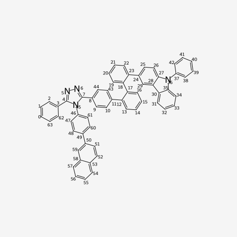 c1ccc(-c2nnc(-c3ccc(-c4ccccc4-c4ccccc4-c4ccc5c(c4)c4ccccc4n5-c4ccccc4)cc3)n2-c2ccc(-c3ccc4ccccc4c3)cc2)cc1